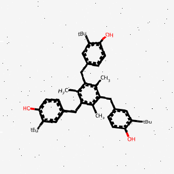 Cc1c(Cc2ccc(O)c(C(C)(C)C)c2)c(C)c(Cc2ccc(O)c(C(C)(C)C)c2)c(C)c1Cc1ccc(O)c(C(C)(C)C)c1